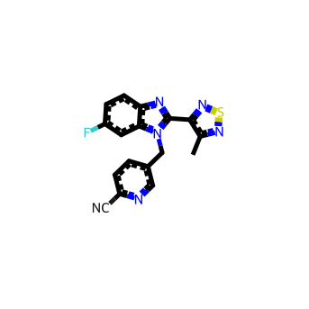 Cc1nsnc1-c1nc2ccc(F)cc2n1Cc1ccc(C#N)nc1